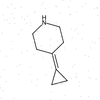 C1CC(=C2CC2)CCN1